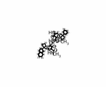 CNC(=O)c1nn(CC2(c3ccc4ccccc4c3)CCCC2)cc(OCNC(=O)c2nn(CC3(c4ccccc4)CCC(C)(C)C3)cc(O)c2=O)c1=O